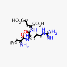 CC(C)C[C@H](N)C(=O)N[C@@H](CCCNC(=N)N)C(=O)N[C@@H](CCC(=O)O)C(=O)O